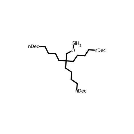 CCCCCCCCCCCCCCC(CCCCCCCCCCCCCC)(CCCCCCCCCCCCCC)CO[SiH3]